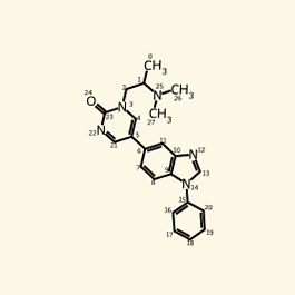 CC(Cn1cc(-c2ccc3c(c2)ncn3-c2ccccc2)cnc1=O)N(C)C